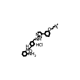 CN(C)CCOc1cccc(-c2ccnc(NCc3ccc(C(=O)Nc4ccccc4N)cc3)n2)c1.Cl